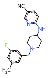 N#Cc1ccc(NC2CCN(Cc3cc(F)cc(C(F)(F)F)c3)CC2)nc1